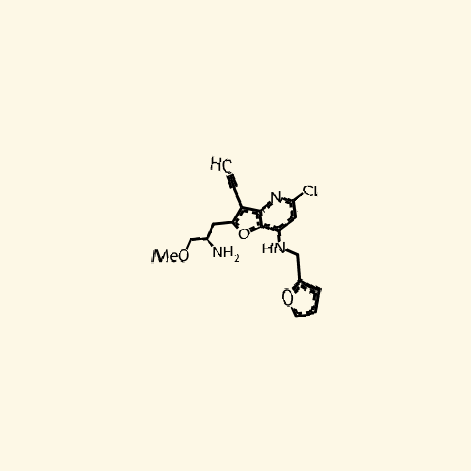 C#Cc1c(C[C@@H](N)COC)oc2c(NCc3ccco3)cc(Cl)nc12